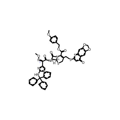 CO/N=C(\C(=O)NC1C(=O)N2C(C(=O)OCc3ccc(OC)cc3)=C(CSc3cc(=O)c4cc5c(cc4s3)OCO5)CS[C@@H]12)c1csc(NC(c2ccccc2)(c2ccccc2)c2ccccc2)n1